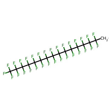 [CH2]C(F)(F)C(F)(F)C(F)(F)C(F)(F)C(F)(F)C(F)(F)C(F)(F)C(F)(F)C(F)(F)C(F)(F)C(F)(F)C(F)(F)C(F)(F)C(F)(F)C(F)(F)F